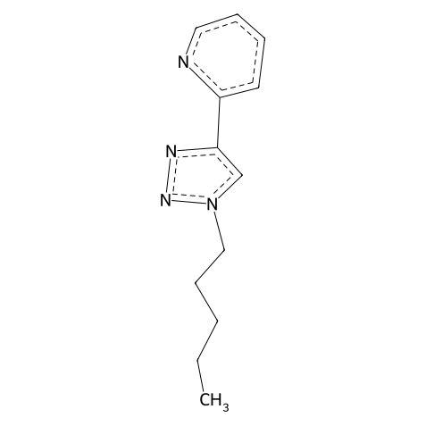 CCCCCn1cc(-c2ccccn2)nn1